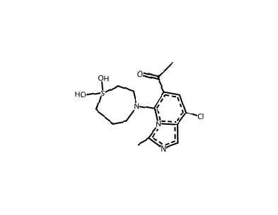 CC(=O)c1cc(Cl)c2cnc(C)n2c1N1CCCS(O)(O)CC1